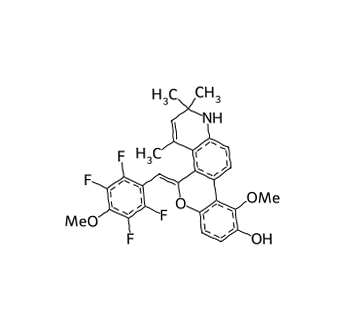 COc1c(F)c(F)c(/C=C2\Oc3ccc(O)c(OC)c3-c3ccc4c(c32)C(C)=CC(C)(C)N4)c(F)c1F